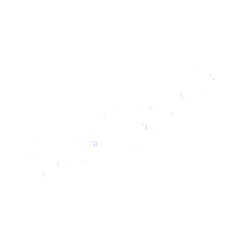 CC1(C)CC(NS(=O)(=O)Cc2ccccc2C(F)(F)F)c2cc(C(=O)N3CCC4(CC3)CCN(c3ccncc3)CC4)ccc21